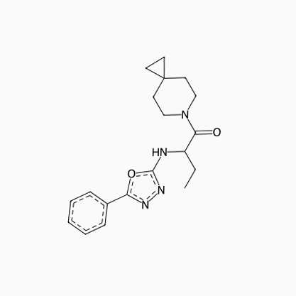 CCC(Nc1nnc(-c2ccccc2)o1)C(=O)N1CCC2(CC1)CC2